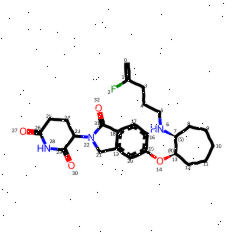 C=C(F)CCCN[C@H]1CCCCC[C@H]1Oc1ccc2c(c1)CN(C1CCC(=O)NC1=O)C2=O